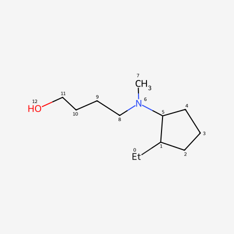 CCC1CCCC1N(C)CCCCO